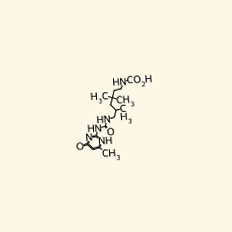 Cc1cc(=O)nc(NC(=O)NCC(C)CC(C)(C)CCNC(=O)O)[nH]1